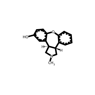 CN1C[C@H]2c3ccccc3Oc3ccc(O)cc3[C@@H]2C1